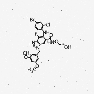 COc1cc(Cn2cnc3c(F)c(Nc4ccc(Br)cc4Cl)c(C(=O)NOCCO)cc32)cc(OC)c1